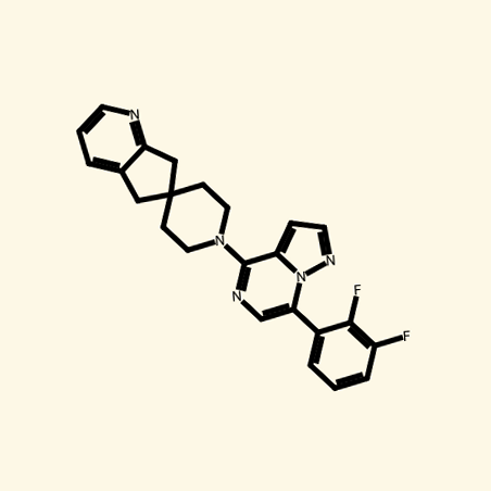 Fc1cccc(-c2cnc(N3CCC4(CC3)Cc3cccnc3C4)c3ccnn23)c1F